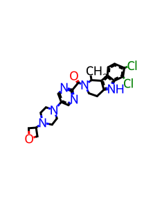 CC1c2c([nH]c3c(Cl)c(Cl)ccc23)CCN1C(=O)c1ncc(N2CCN(C3COC3)CC2)cn1